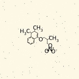 CC(COC1=CC(C)C(C)c2ccccc21)CO[N+](=O)[O-]